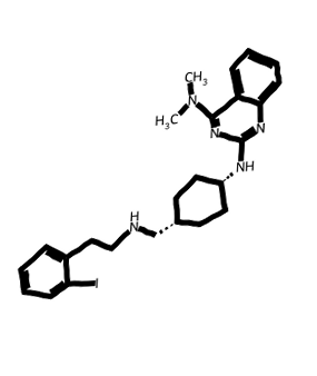 CN(C)c1nc(N[C@H]2CC[C@@H](CNCCc3ccccc3I)CC2)nc2ccccc12